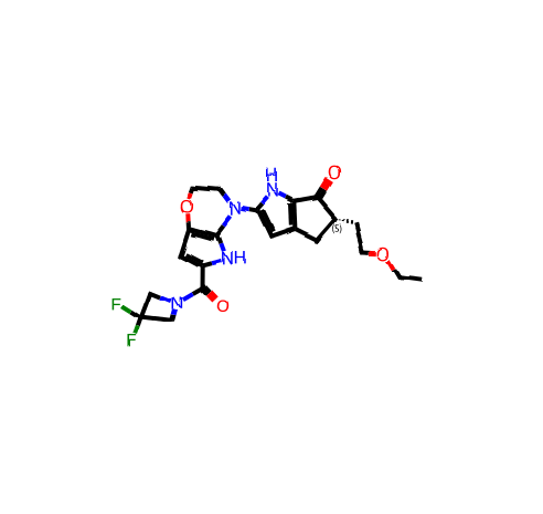 CCOCC[C@@H]1Cc2cc(N3CCOc4cc(C(=O)N5CC(F)(F)C5)[nH]c43)[nH]c2C1=O